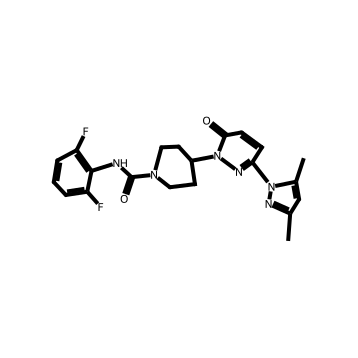 Cc1cc(C)n(-c2ccc(=O)n(C3CCN(C(=O)Nc4c(F)cccc4F)CC3)n2)n1